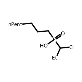 CCCCCCCCP(=O)(O)C(Cl)CC